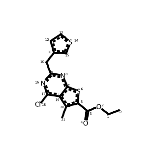 CCOC(=O)c1sc2nc(Cc3ccsc3)nc(Cl)c2c1C